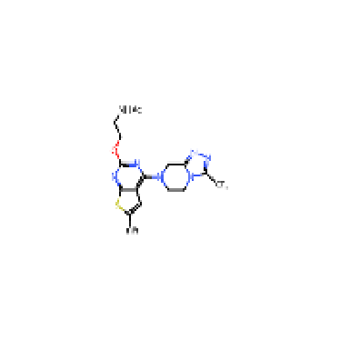 CCCc1cc2c(N3CCn4c(nnc4C(F)(F)F)C3)nc(OCCNC(C)=O)nc2s1